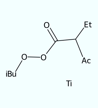 CCC(C)OOC(=O)C(CC)C(C)=O.[Ti]